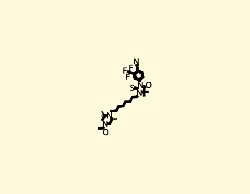 CC(=O)N1C[C@@H](C)N(CCCCCCCCN2C(=S)N(c3ccc(C#N)c(C(F)(F)F)c3)C(=O)C2(C)C)[C@@H](C)C1